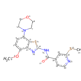 COc1ccc(N2CCOCC2)c2sc(NC(=O)c3ccnc(SC)c3)nc12